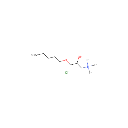 CCCCCCCCCCCCCCOCC(O)C[N+](CC)(CC)CC.[Cl-]